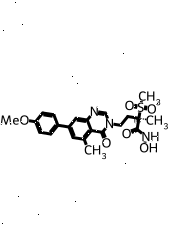 COc1ccc(-c2cc(C)c3c(=O)n(CC[C@](C)(C(=O)NO)S(C)(=O)=O)cnc3c2)cc1